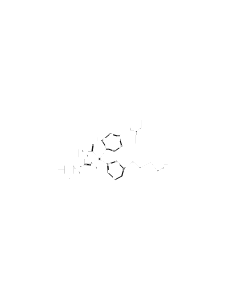 NC1=NC(c2ccc(OC(F)F)cc2)(c2cccc(CCCCF)c2)C(=O)N1